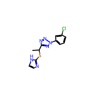 CC(Sc1ncc[nH]1)c1nnn(-c2cccc(Cl)c2)n1